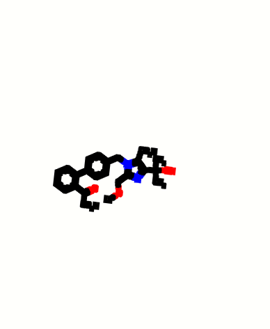 CCOCc1nc(C(C)(C)O)c(C(=O)O)n1Cc1ccc(-c2ccccc2C(=O)C(=O)O)cc1